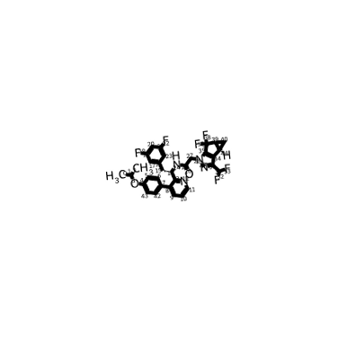 CC(C)Oc1ccc(-c2cccnc2[C@H](Cc2cc(F)cc(F)c2)NC(=O)Cn2nc(C(F)F)c3c2C(F)(F)C2C[C@@H]32)cc1